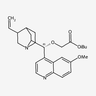 C=CC1CN2CCC1CC2[C@H](OCC(=O)OCC(C)C)c1ccnc2ccc(OC)cc12